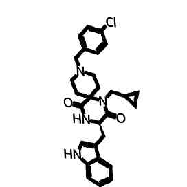 O=C1[C@@H](Cc2c[nH]c3ccccc23)NC(=O)C2(CCN(Cc3ccc(Cl)cc3)CC2)N1CC1CC1